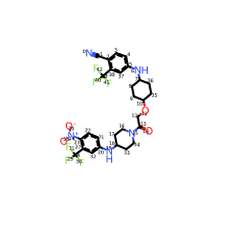 N#Cc1ccc(NC2CCC(OCC(=O)N3CCC(Nc4ccc([N+](=O)[O-])c(C(F)(F)F)c4)CC3)CC2)cc1C(F)(F)F